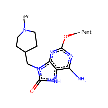 CCC[C@H](C)Oc1nc(N)c2[nH]c(=O)n(CC3CCN(C(C)C)CC3)c2n1